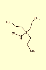 CCCS(CCC)(CCC)[OH+][O-]